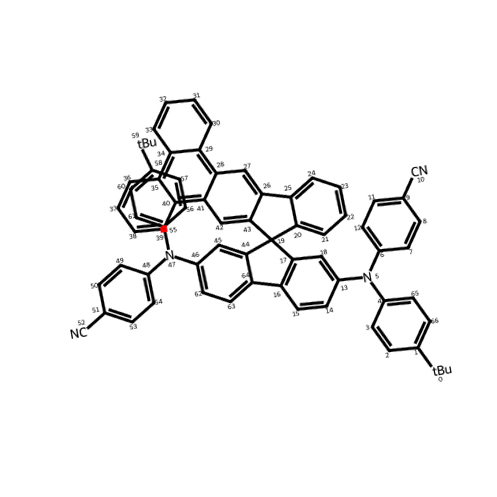 CC(C)(C)c1ccc(N(c2ccc(C#N)cc2)c2ccc3c(c2)C2(c4ccccc4-c4cc5c6ccccc6c6ccccc6c5cc42)c2cc(N(c4ccc(C#N)cc4)c4ccc(C(C)(C)C)cc4)ccc2-3)cc1